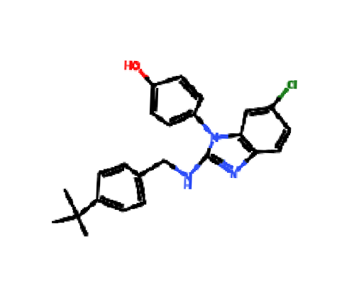 CC(C)(C)c1ccc(CNc2nc3ccc(Cl)cc3n2-c2ccc(O)cc2)cc1